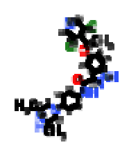 C[C@@H]1CN(c2ccc(NC(=O)c3n[nH]c4ccc(O[C@H](C)c5c(Cl)cncc5Cl)cc34)cc2)C[C@H](C)N1